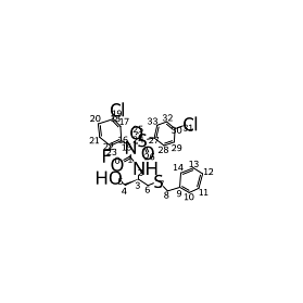 O=C(N[C@H](CO)CSCc1ccccc1)N(c1cc(Cl)ccc1F)S(=O)(=O)c1ccc(Cl)cc1